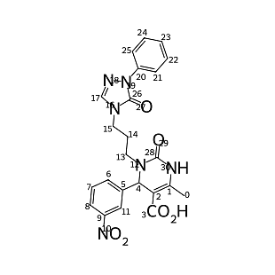 CC1=C(C(=O)O)C(c2cccc([N+](=O)[O-])c2)N(CCCn2cnn(-c3ccccc3)c2=O)C(=O)N1